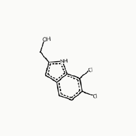 OCc1cc2ccc(Cl)c(Cl)c2[nH]1